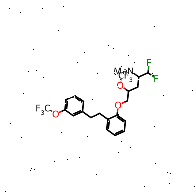 CNC(CC(COc1ccccc1CCc1cccc(OC(F)(F)F)c1)OC(F)(F)F)C(F)F